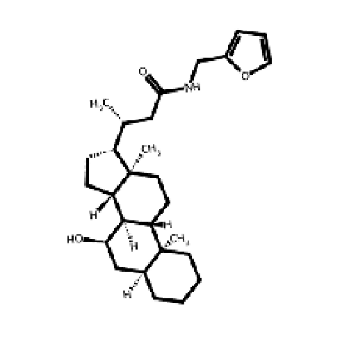 C[C@H](CC(=O)NCc1ccco1)[C@H]1CC[C@H]2[C@@H]3[C@H](O)C[C@@H]4CCCC[C@]4(C)[C@H]3CC[C@]12C